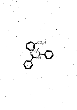 O=C(NC(C(=O)O)c1ccccc1)c1ccccc1.O=C(O)c1ccccc1